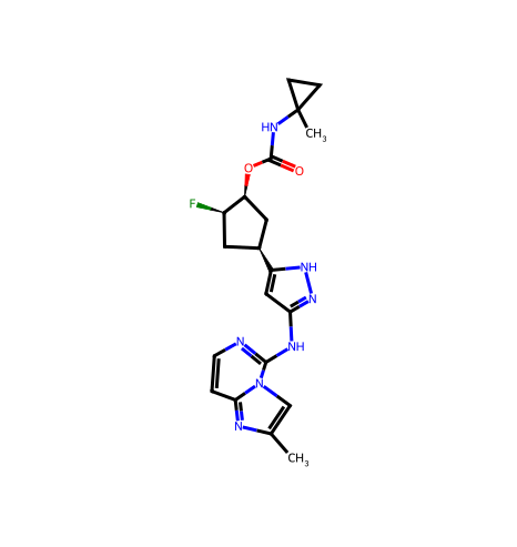 Cc1cn2c(Nc3cc([C@H]4C[C@@H](F)[C@@H](OC(=O)NC5(C)CC5)C4)[nH]n3)nccc2n1